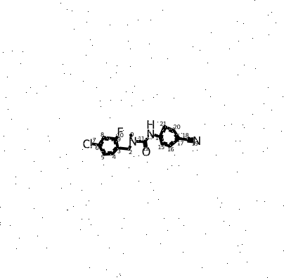 CN(Cc1ccc(Cl)cc1F)C(=O)Nc1ccc(C#N)cc1